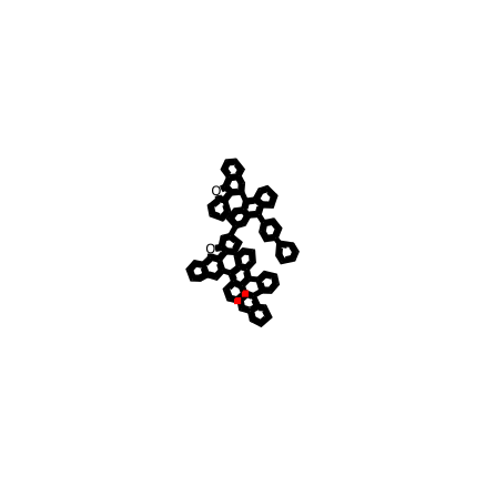 c1ccc(-c2ccc(-c3c4ccccc4c(-c4cc5ccccc5c5oc6ccccc6c45)c4ccc(-c5ccc6c(c5)oc5c7ccccc7cc(-c7c8ccccc8c(-c8ccccc8-c8cccc9ccccc89)c8ccccc78)c65)cc34)cc2)cc1